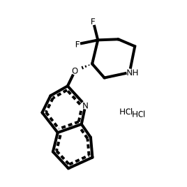 Cl.Cl.FC1(F)CCNC[C@@H]1Oc1ccc2ccccc2n1